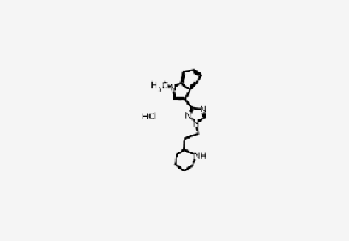 Cl.Cn1cc(-c2ncn(CCC3CCCCN3)n2)c2ccccc21